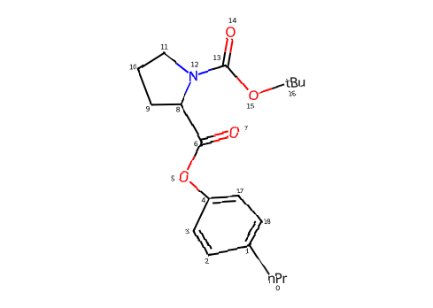 CCCc1ccc(OC(=O)C2CCCN2C(=O)OC(C)(C)C)cc1